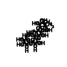 CC1(C)C(CO)OC(OC2C(CO)OC(OC3C(CO)OC(OC4OC(CO)C(O)C(O)C4O)C(O)C3O)C(O)C2O)C(O)C1O